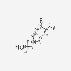 C=Cc1cc2cn(CC(C)(C)O)nc2cc1F